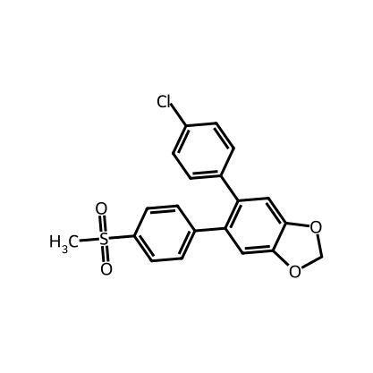 CS(=O)(=O)c1ccc(-c2cc3c(cc2-c2ccc(Cl)cc2)OCO3)cc1